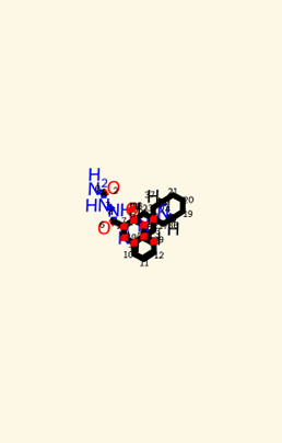 NC(=O)NNC(=O)c1nc2ccccc2n([C@H]2C[C@H]3CCC[C@@H](C2)N3[C@H]2C[C@@H]3CCC[C@@H](C3)C2)c1=O